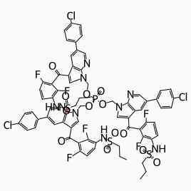 CCCS(=O)(=O)Nc1ccc(F)c(C(=O)c2cn(COP(=O)(OCn3cc(C(=O)c4c(F)ccc(NS(=O)(=O)CCC)c4F)c4cc(-c5ccc(Cl)cc5)cnc43)OCn3cc(C(=O)c4c(F)ccc(NS(=O)(=O)CCC)c4F)c4cc(-c5ccc(Cl)cc5)cnc43)c3ncc(-c4ccc(Cl)cc4)cc23)c1F